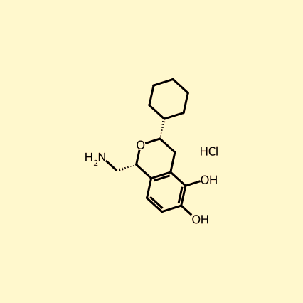 Cl.NC[C@@H]1O[C@H](C2CCCCC2)Cc2c1ccc(O)c2O